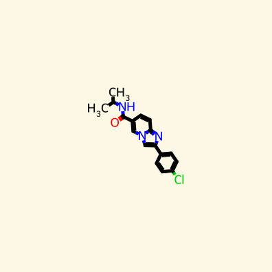 CC(C)NC(=O)c1ccc2nc(-c3ccc(Cl)cc3)cn2c1